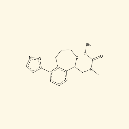 CN(CC1OCCCc2c(-c3ccno3)cccc21)C(=O)OC(C)(C)C